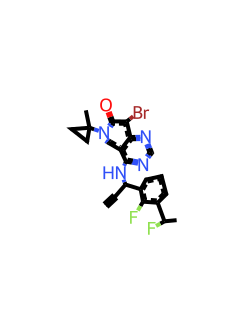 C#CC(Nc1ncnc2c(Br)c(=O)n(C3(C)CC3)cc12)c1cccc(C(C)F)c1F